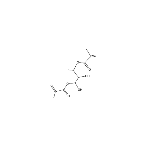 C=C(C)C(=O)OC(C)C(O)C(O)OC(=O)C(=C)C